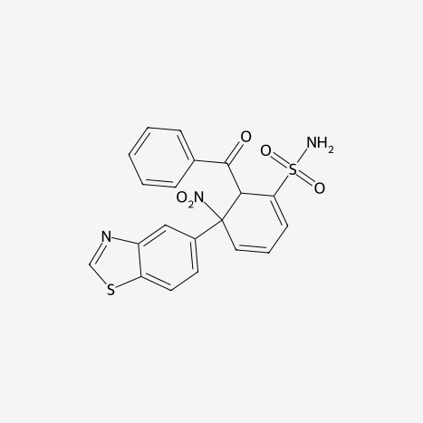 NS(=O)(=O)C1=CC=CC(c2ccc3scnc3c2)([N+](=O)[O-])C1C(=O)c1ccccc1